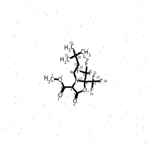 COC(=O)C1C(=O)OC(C(F)(F)F)(C(F)(F)F)N1CCC(C)(C)C